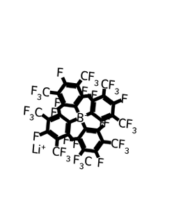 Fc1c([B-](c2c(F)c(C(F)(F)F)c(F)c(C(F)(F)F)c2F)(c2c(F)c(C(F)(F)F)c(F)c(C(F)(F)F)c2F)c2c(F)c(C(F)(F)F)c(F)c(C(F)(F)F)c2F)c(F)c(C(F)(F)F)c(F)c1C(F)(F)F.[Li+]